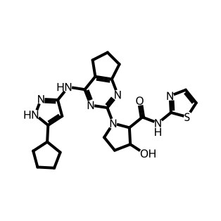 O=C(Nc1nccs1)C1C(O)CCN1c1nc2c(c(Nc3cc(C4CCCC4)[nH]n3)n1)CCC2